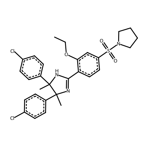 CCOc1cc(S(=O)(=O)N2CCCC2)ccc1C1=NC(C)(c2ccc(Cl)cc2)C(C)(c2ccc(Cl)cc2)N1